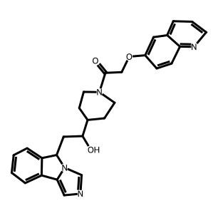 O=C(COc1ccc2ncccc2c1)N1CCC(C(O)CC2c3ccccc3-c3cncn32)CC1